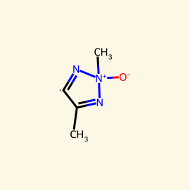 CC1=N[N+](C)([O-])N=[C]1